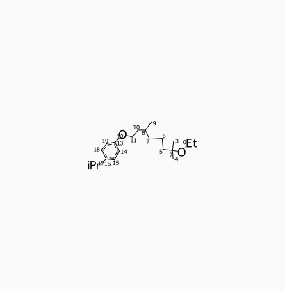 CCOC(C)(C)CCCC(C)CCOc1ccc(C(C)C)cc1